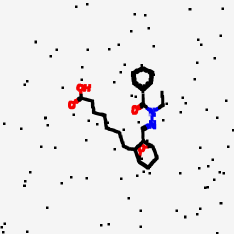 CCN(/N=C/C1C2CCC(O2)C1CCCCCCC(=O)O)C(=O)c1ccccc1